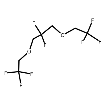 FC(F)(F)COCC(F)(F)COCC(F)(F)F